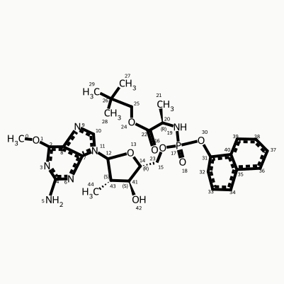 COc1nc(N)nc2c1ncn2C1O[C@H](COP(=O)(N[C@H](C)C(=O)OCC(C)(C)C)Oc2cccc3ccccc23)[C@@H](O)[C@@H]1C